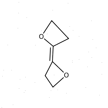 C1CC(=C2CCO2)O1